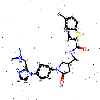 Cc1ccc2sc(C(=O)NCC3CC(=O)N(c4ccc(-n5ccnc5CN(C)C)cc4)C3)cc2c1